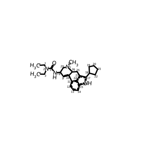 CCN(CC)C(=O)NC1C=C2c3cccc4[nH]c(C5CCCC5)c(c34)CC2N(C)C1